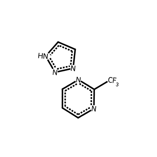 FC(F)(F)c1ncccn1.c1c[nH]nn1